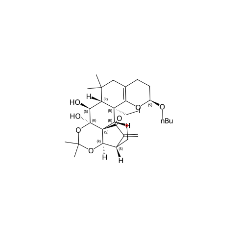 C=C1C(=O)[C@@]23[C@@H]4OC(C)(C)O[C@@]2(O)[C@@H](O)[C@@H]2C(C)(C)CC5=C(O[C@H](OCCCC)CC5)[C@@]2(CI)[C@@H]3CC[C@@H]14